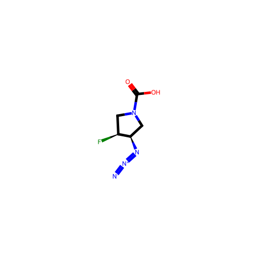 [N-]=[N+]=N[C@@H]1CN(C(=O)O)C[C@@H]1F